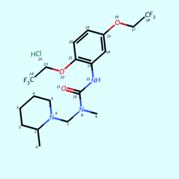 CC1CCCCN1CN(C)C(=O)Nc1cc(OCC(F)(F)F)ccc1OCC(F)(F)F.Cl